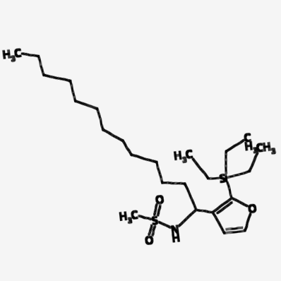 CCCCCCCCCCCCC(NS(C)(=O)=O)c1ccoc1[Si](CC)(CC)CC